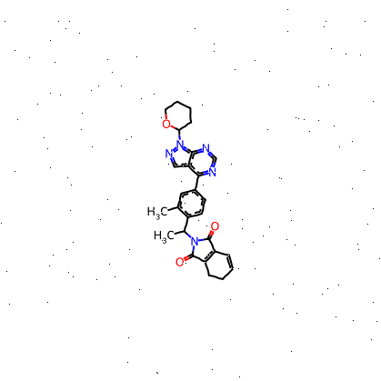 Cc1cc(-c2ncnc3c2cnn3C2CCCCO2)ccc1C(C)N1C(=O)C2=C(CCC=C2)C1=O